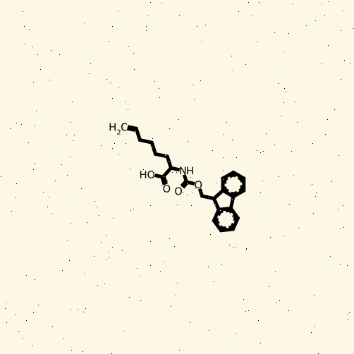 C=CCCCCC(NC(=O)OCC1c2ccccc2-c2ccccc21)C(=O)O